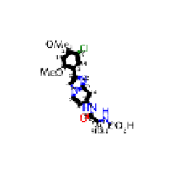 CC[C@@H](C)[C@H](NC(=O)O)C(=O)Nc1ccn2cc(-c3cc(Cl)c(OC)cc3OC)nc2c1